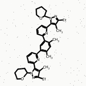 CCc1nn(C2CCCCO2)c(-c2cccc(-c3cc(-c4cccc(-c5c(C)c(CC)nn5C5CCCCO5)n4)c(C)cc3C)n2)c1C